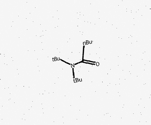 CCC[CH]C(=O)N(C(C)(C)C)C(C)(C)C